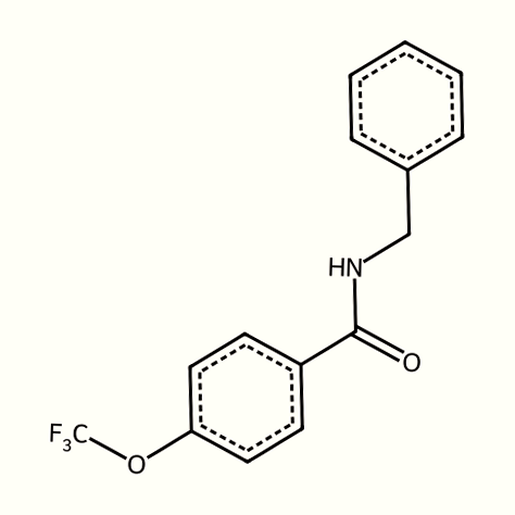 O=C(NCc1ccccc1)c1ccc(OC(F)(F)F)cc1